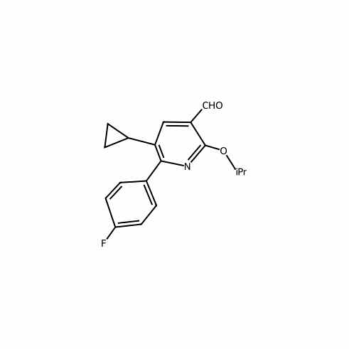 CC(C)Oc1nc(-c2ccc(F)cc2)c(C2CC2)cc1C=O